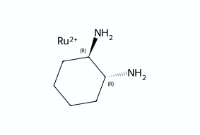 N[C@@H]1CCCC[C@H]1N.[Ru+2]